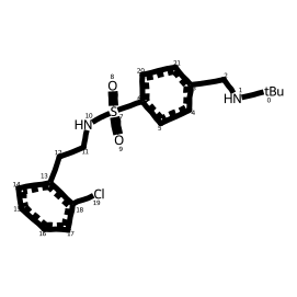 CC(C)(C)NCc1ccc(S(=O)(=O)NCCc2ccccc2Cl)cc1